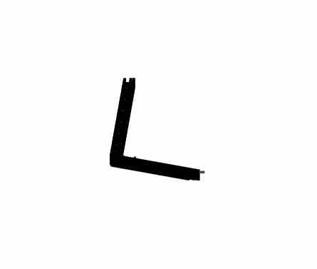 I.I.I.I.I.I.I.I.I.I.I.I.I.I.I.I.I.I.I.I.I.I.I.I.I.I.I.I.I.I.I.I.I.I.I.I.I.I.I.I.I.I.I.I.I.I.I.I.I.I.I.I.I.I.I.I.I.I.I.I.I.I.I.I.I.I.I.I.I.I.I.I.I.I.I.I.I.I.I.I.I.I.I.I.I.I.I.I.I.I.I.I.I.I.I.I.I.I.I.I.I.I.I.I.I.I.I.I.I.I.I.I.I.I.I.I.I.I.I.I.I.I.[I-].[Na+]